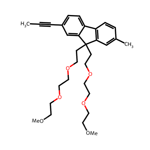 CC#Cc1ccc2c(c1)C(CCOCCOCCOC)(CCOCCOCCOC)c1cc(C)ccc1-2